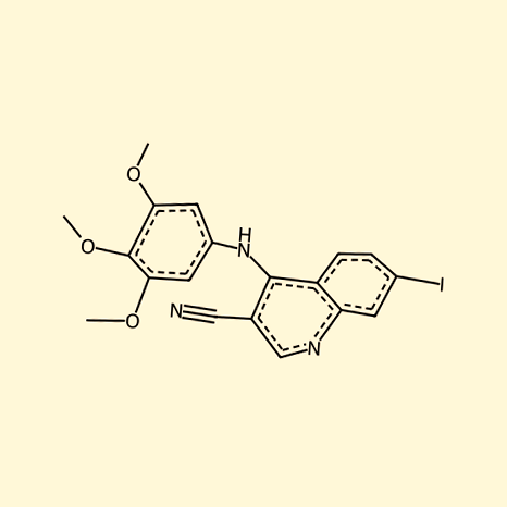 COc1cc(Nc2c(C#N)cnc3cc(I)ccc23)cc(OC)c1OC